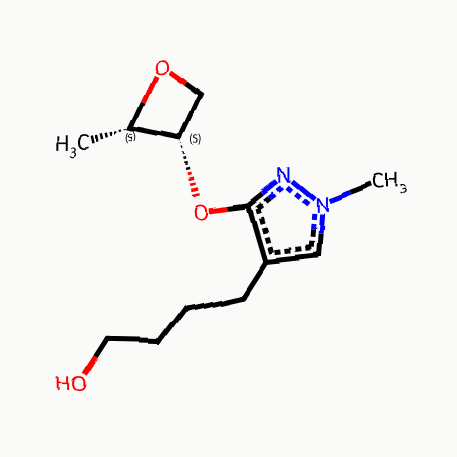 C[C@@H]1OC[C@@H]1Oc1nn(C)cc1CCCCO